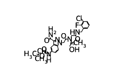 C[C@H](CO)N(CC(=O)NCc1cccc(Cl)c1F)C(=O)Cn1nc(C(N)=O)c2cc(NC(=O)OC(C)(C)C)ccc21